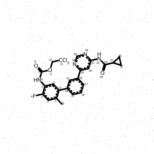 Cc1cc(F)c(NC(=O)OCC(Cl)(Cl)Cl)cc1-c1cccc(-c2cc(NC(=O)C3CC3)ncn2)c1